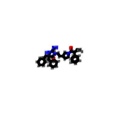 CC(C(=O)N1CCC(CCN2C(=N)NC(CC3CCCCC3)(CC3CCCCC3)C2=O)C1)c1ccccc1